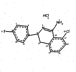 Cl.NC1=NC(c2ccc(F)cc2)Cc2cccc(Cl)c21